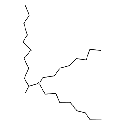 CCCCCCCCCC(C)N(CCCCCCCC)CCCCCCCC